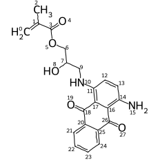 C=C(C)C(=O)OCC(O)CNc1ccc(N)c2c1C(=O)c1ccccc1C2=O